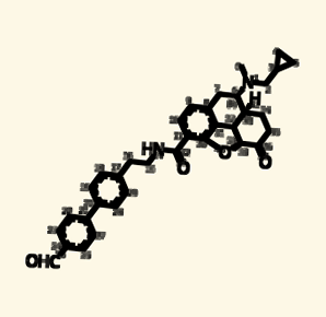 CN(CC1CC1)[C@@H]1Cc2ccc(C(=O)NCCc3ccc(-c4ccc(C=O)cc4)cc3)c3c2C2[C@H]1CCC(=O)C2(C)O3